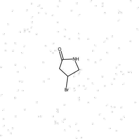 O=C1CC(Br)[CH]N1